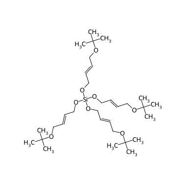 CC(C)(C)OCC=CCO[Si](OCC=CCOC(C)(C)C)(OCC=CCOC(C)(C)C)OCC=CCOC(C)(C)C